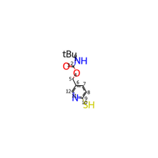 CC(C)(C)NC(=O)OCc1ccc(S)nc1